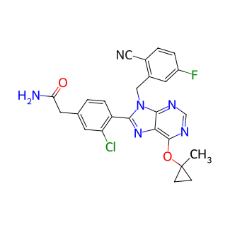 CC1(Oc2ncnc3c2nc(-c2ccc(CC(N)=O)cc2Cl)n3Cc2cc(F)ccc2C#N)CC1